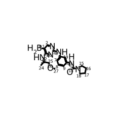 Bc1cnc(Nc2cccc(NC(=O)N3CCCC3)c2)nc1NC(C)COC